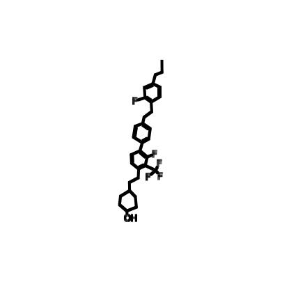 CCCc1ccc(CCc2ccc(-c3ccc(CCC4CCC(O)CC4)c(C(F)(F)F)c3F)cc2)c(F)c1